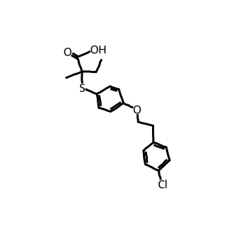 CCC(C)(Sc1ccc(OCCc2ccc(Cl)cc2)cc1)C(=O)O